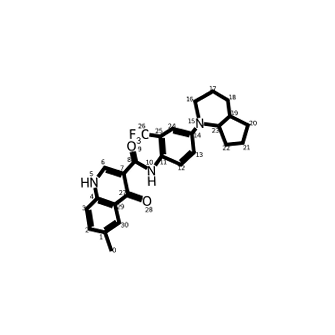 Cc1ccc2[nH]cc(C(=O)Nc3ccc(N4CCCC5CCCC54)cc3C(F)(F)F)c(=O)c2c1